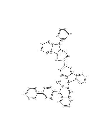 CN1C(n2c3ccccc3c3cc(-c4ccc5c(c4)c4ccccc4n5-c4ccccc4)ccc32)=Nc2ccccc2C1c1ccc(-c2ccccc2)cc1